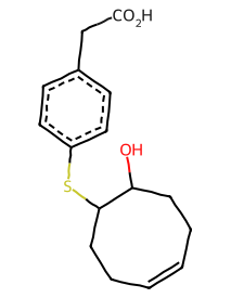 O=C(O)Cc1ccc(SC2CC/C=C\CCC2O)cc1